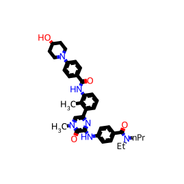 CCCN(CC)C(=O)c1ccc(Nc2nc(-c3cccc(NC(=O)c4ccc(N5CCC(O)CC5)cc4)c3C)cn(C)c2=O)cc1